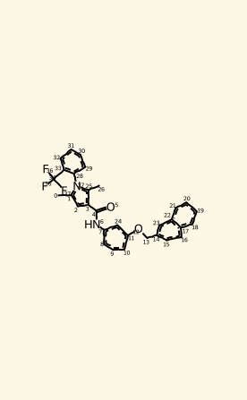 Cc1cc(C(=O)Nc2cccc(OCc3ccc4ccccc4c3)c2)c(C)n1-c1ccccc1C(F)(F)F